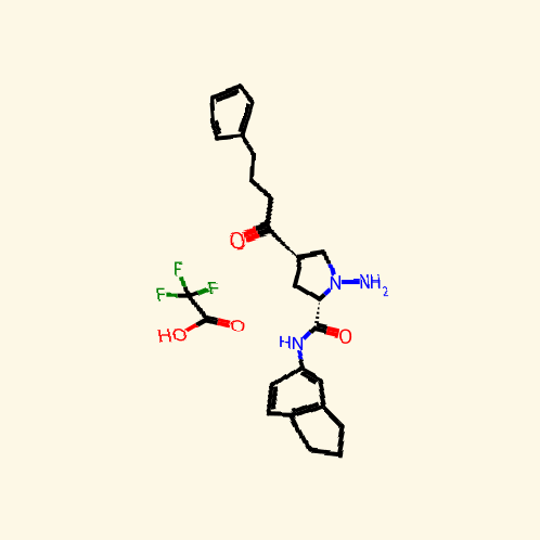 NN1C[C@H](C(=O)CCCc2ccccc2)C[C@H]1C(=O)Nc1ccc2c(c1)CCC2.O=C(O)C(F)(F)F